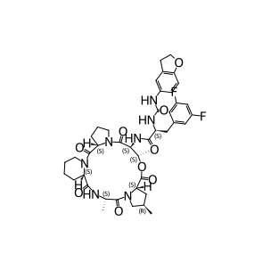 C[C@@H]1C[C@H]2C(=O)O[C@@H](C)[C@H](NC(=O)[C@H](Cc3cc(F)cc(F)c3)NC(=O)Nc3ccc4c(c3)CCO4)C(=O)N3CCC[C@H]3C(=O)N3CCCC[C@H]3C(=O)N[C@@H](C)C(=O)N2C1